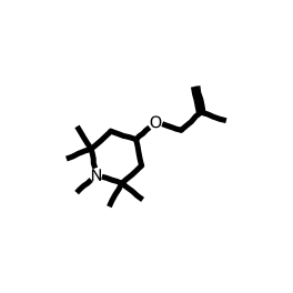 C=C(C)COC1CC(C)(C)N(C)C(C)(C)C1